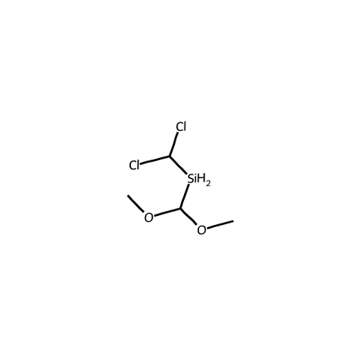 COC(OC)[SiH2]C(Cl)Cl